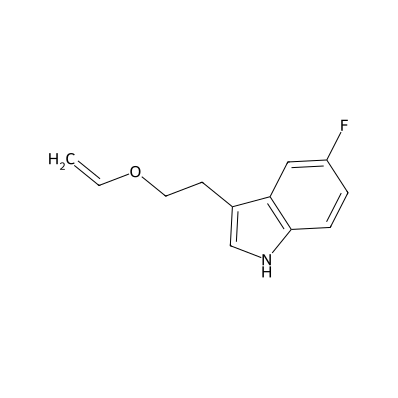 C=COCCc1c[nH]c2ccc(F)cc12